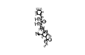 CCOC(=O)c1cc(C#N)c(N2CC(NC(=O)NCc3ccccc3)C2)nc1C